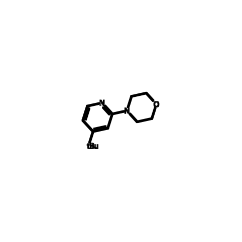 CC(C)(C)c1ccnc(N2CCOCC2)c1